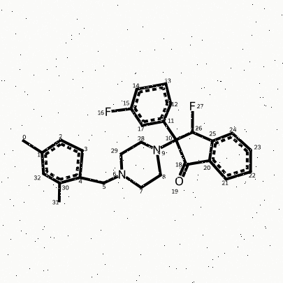 Cc1ccc(CN2CCN(C3(c4cccc(F)c4)C(=O)c4ccccc4C3F)CC2)c(C)c1